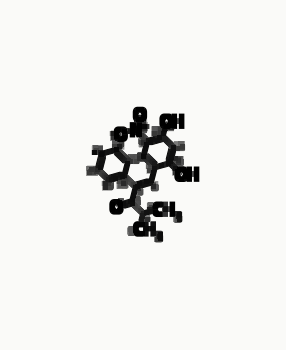 CC(C)C(=O)/C(=C/c1cc([N+](=O)[O-])c(O)cc1O)c1ccccc1